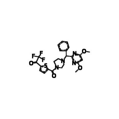 COc1cc(OC)nc(C(c2ccccc2)N2CCN(C(=O)c3ccc(C(=O)C(F)(F)F)s3)CC2)n1